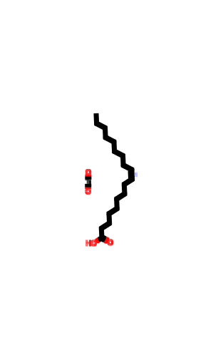 CCCCCCCC/C=C\CCCCCCCC(=O)O.[O]=[Ti]=[O]